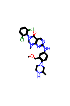 COCc1cc(Nc2ncc3c(n2)N(C)CN(c2c(Cl)cccc2Cl)C3=O)ccc1N1CCNC(C)C1